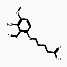 COc1ccc(OCCCCC(=O)O)c(C=O)c1O